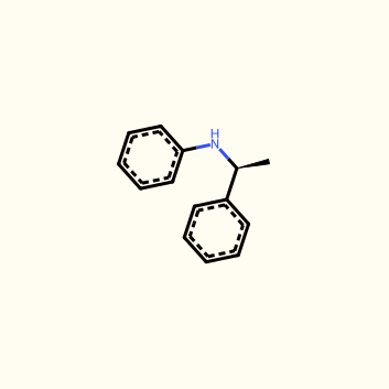 C[C@H](Nc1ccccc1)c1ccccc1